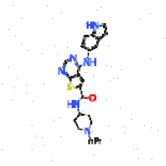 CCCN1CCC(NC(=O)c2cc3c(Nc4ccc5[nH]ccc5c4)ncnc3s2)CC1